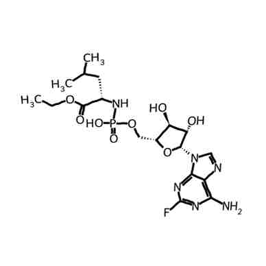 CCOC(=O)[C@H](CC(C)C)NP(=O)(O)OC[C@H]1O[C@@H](n2cnc3c(N)nc(F)nc32)[C@@H](O)[C@@H]1O